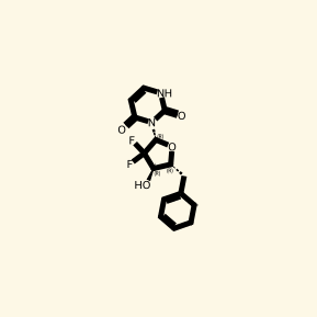 O=c1cc[nH]c(=O)n1[C@@H]1O[C@H](CC2=CC=CC[CH]2)[C@@H](O)C1(F)F